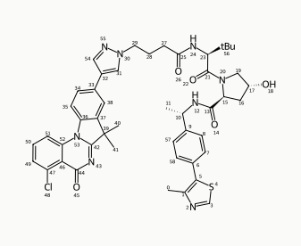 Cc1ncsc1-c1ccc([C@H](C)NC(=O)[C@@H]2C[C@@H](O)CN2C(=O)[C@@H](NC(=O)CCCn2cc(-c3ccc4c(c3)C(C)(C)c3nc(=O)c5c(Cl)cccc5n3-4)cn2)C(C)(C)C)cc1